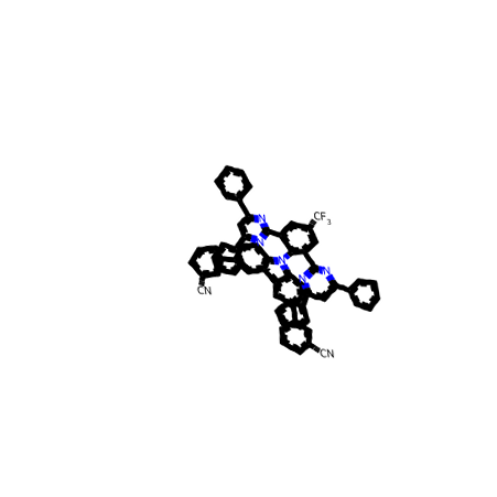 N#Cc1cccc(-c2ccc3c(c2)c2cc(-c4cccc(C#N)c4)ccc2n3-c2c(-c3nc(-c4ccccc4)cc(-c4ccccc4)n3)cc(C(F)(F)F)cc2-c2nc(-c3ccccc3)cc(-c3ccccc3)n2)c1